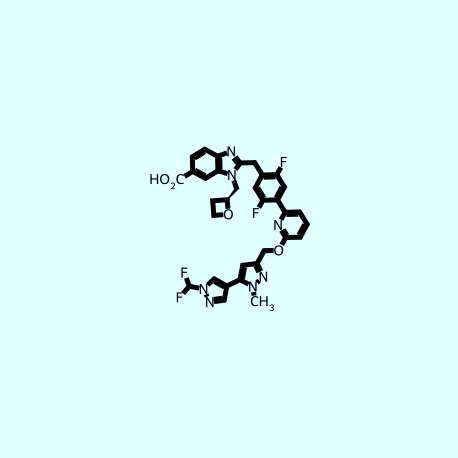 Cn1nc(COc2cccc(-c3cc(F)c(Cc4nc5ccc(C(=O)O)cc5n4C[C@@H]4CCO4)cc3F)n2)cc1-c1cnn(C(F)F)c1